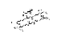 CC(C)CCCCCOC(=O)CCC(=O)OCCCCCC(C)C.CC(C)CCCCCOC(=O)CCC(=O)OCCCCCC(C)C.O=C(O)CCC(=O)O